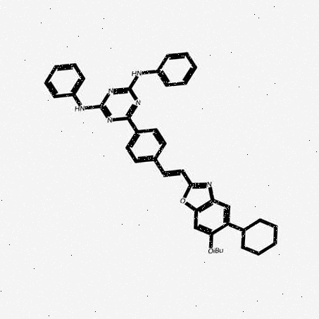 CC(C)COc1cc2oc(/C=C/c3ccc(-c4nc(Nc5ccccc5)nc(Nc5ccccc5)n4)cc3)nc2cc1C1CCCCC1